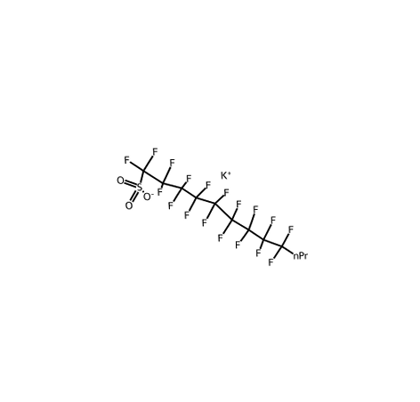 CCCC(F)(F)C(F)(F)C(F)(F)C(F)(F)C(F)(F)C(F)(F)C(F)(F)C(F)(F)C(F)(F)S(=O)(=O)[O-].[K+]